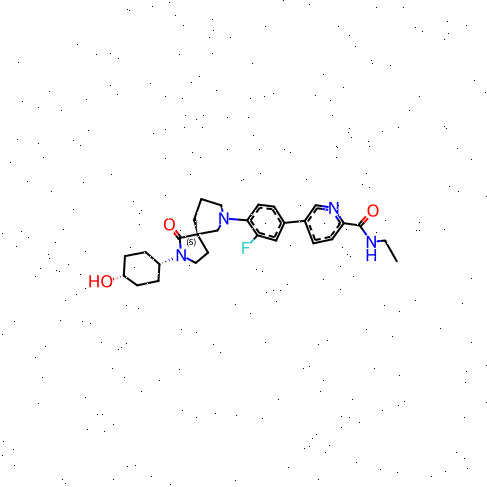 CCNC(=O)c1ccc(-c2ccc(N3CCC[C@]4(CCN([C@H]5CC[C@@H](O)CC5)C4=O)C3)c(F)c2)cn1